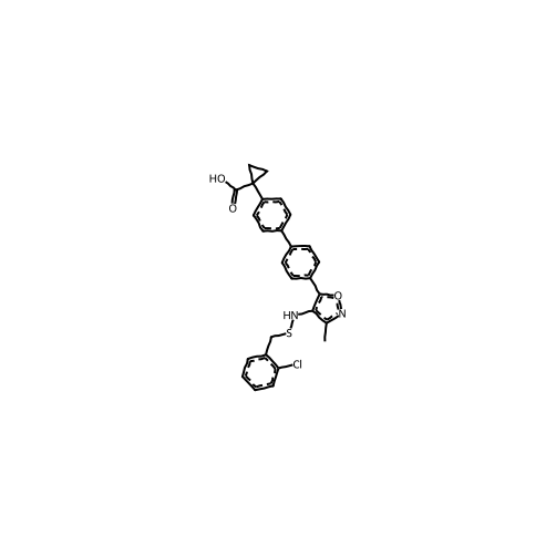 Cc1noc(-c2ccc(-c3ccc(C4(C(=O)O)CC4)cc3)cc2)c1NSCc1ccccc1Cl